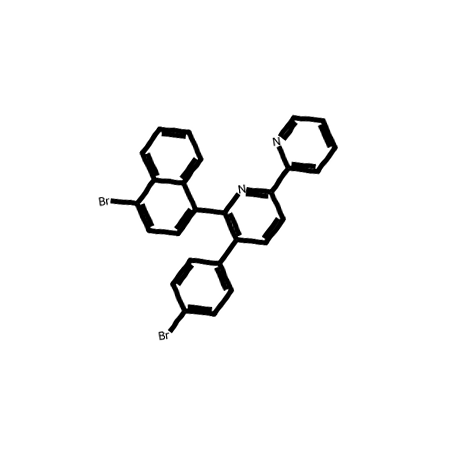 Brc1ccc(-c2ccc(-c3ccccn3)nc2-c2ccc(Br)c3ccccc23)cc1